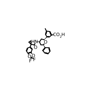 Cc1cc(C(=O)O)cc([C@@H]2C[C@H](NC(=O)C3(c4ccc5c(c4)OC(F)(F)O5)CC3)C[C@H](c3ccccc3)O2)c1